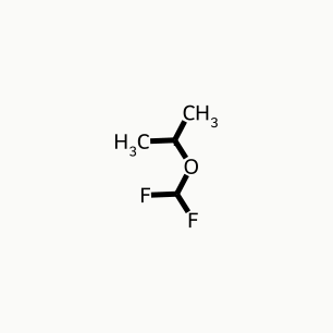 C[C](C)OC(F)F